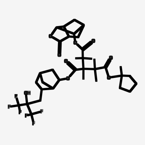 CC1(OC(=O)C(C)(C)C(C)(C(=O)OC2CC3CC(CC(O)(C(F)(F)F)C(F)(F)F)C2C3)C(C)(C)C(=O)OC2C3CC4C(=O)OC2C4C3)CCCC1